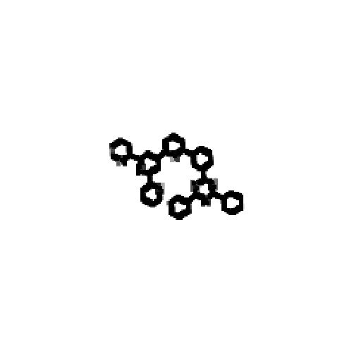 c1ccc(-c2nc(-c3ccccc3)nc(-c3cccc(-c4cccc(-c5cc(-c6ccccn6)nc(-c6ccccn6)c5)n4)c3)n2)cc1